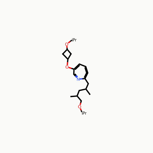 CC(COC(C)C)CC(C)CC1=C=CC=C(OC2CC(OC(C)C)C2)C=N1